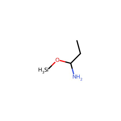 CCC(N)O[SiH3]